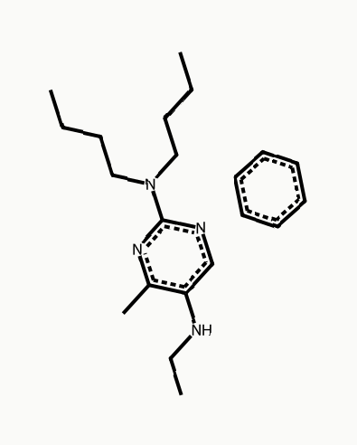 CCCCN(CCCC)c1ncc(NCC)c(C)n1.c1ccccc1